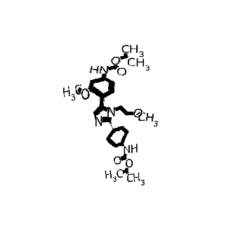 COCCn1c(-c2ccc(NC(=O)OC(C)C)cc2OC)cnc1[C@H]1CC[C@H](NC(=O)OC(C)C)CC1